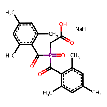 Cc1cc(C)c(C(=O)P(=O)(CC(=O)O)C(=O)c2c(C)cc(C)cc2C)c(C)c1.[NaH]